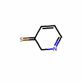 S=C1C=CC=NC1